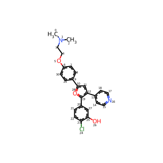 CN(C)CCOc1ccc(-c2cc(-c3ccncc3)c(-c3ccc(Cl)c(O)c3)o2)cc1